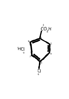 Cl.O=C(O)c1ccc(Cl)cc1